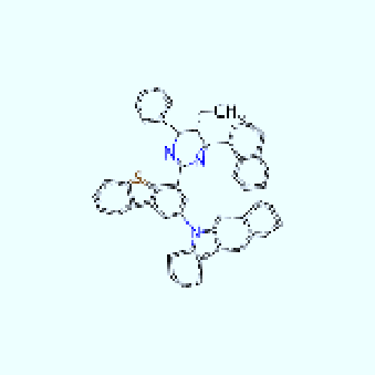 CC[C@@H]1C(c2cccc3ccccc23)=NC(c2cc(-n3c4ccccc4c4cc5ccccc5cc43)cc3c2sc2ccccc23)=NC1c1ccccc1